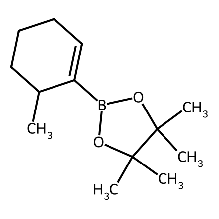 CC1CCCC=C1B1OC(C)(C)C(C)(C)O1